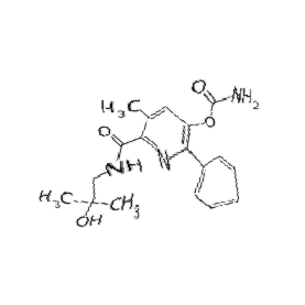 Cc1cc(OC(N)=O)c(-c2ccccc2)nc1C(=O)NCC(C)(C)O